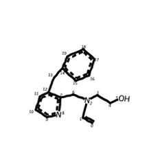 C=CN(CCO)Cc1ncccc1Cc1ccccc1